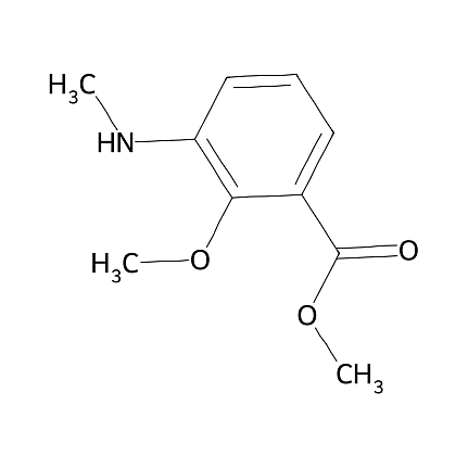 CNc1cccc(C(=O)OC)c1OC